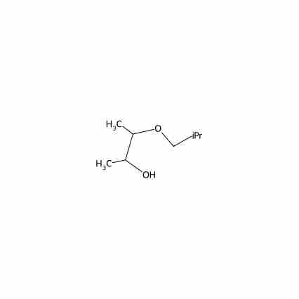 CC(C)COC(C)C(C)O